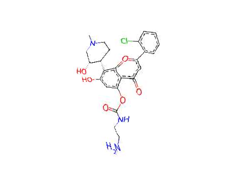 CN1CC[C@H](c2c(O)cc(OC(=O)NCCN)c3c(=O)cc(-c4ccccc4Cl)oc23)[C@H](O)C1